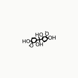 COc1c(O)ccc(C(C)(C)c2ccc(O)c(OC)c2O)c1O